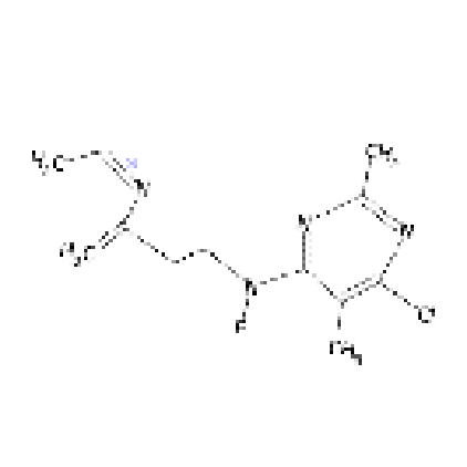 C=C(CCN(F)c1nc(C)nc(Cl)c1C)/N=C\C